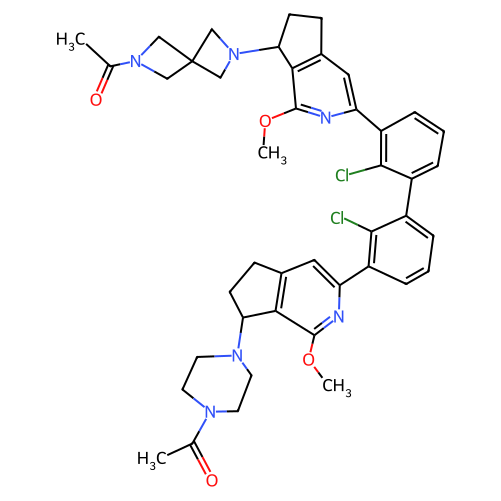 COc1nc(-c2cccc(-c3cccc(-c4cc5c(c(OC)n4)C(N4CC6(CN(C(C)=O)C6)C4)CC5)c3Cl)c2Cl)cc2c1C(N1CCN(C(C)=O)CC1)CC2